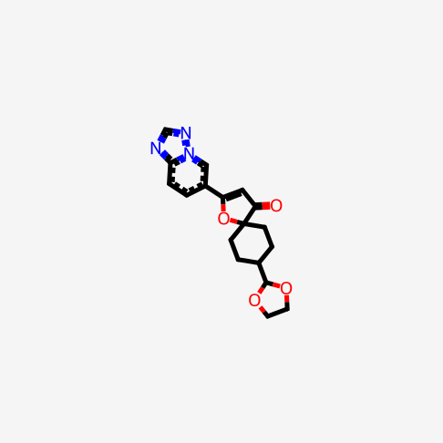 O=C1C=C(c2ccc3ncnn3c2)OC12CCC(C1OCCO1)CC2